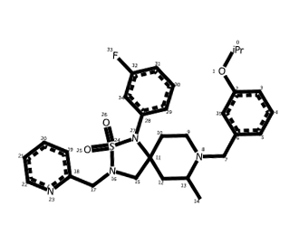 CC(C)Oc1cccc(CN2CCC3(CC2C)CN(Cc2ccccn2)S(=O)(=O)N3c2cccc(F)c2)c1